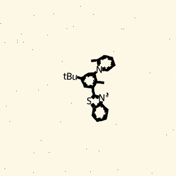 Cc1c(-c2sc3ccccc3[n+]2C)cc(C(C)(C)C)cc1-[n+]1ccccc1C